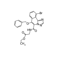 CCOC(=O)CNC(=O)c1c(OCc2ccccc2)c2cccc(Br)c2c2ncnn12